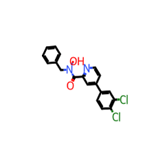 O=C(c1cc(-c2ccc(Cl)c(Cl)c2)ccn1)N(O)Cc1ccccc1